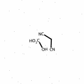 N#CCC#N.O=C(O)O